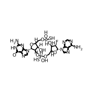 Nc1nc2c(ncn2[C@@H]2O[C@@H]3CO[PH](O)(S)O[C@H]4[C@@H](F)[C@H](n5cnc6c(N)ncnc65)O[C@@H]4CO[PH](O)(S)O[C@@H]2[C@@H]3O)c(=O)[nH]1